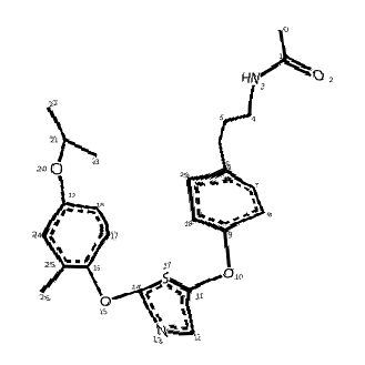 CC(=O)NCCc1ccc(Oc2cnc(Oc3ccc(OC(C)C)cc3C)s2)cc1